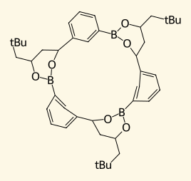 CC(C)(C)CC1CC2OB(O1)c1cccc(c1)C1CC(CC(C)(C)C)OB(O1)c1cccc(c1)C1CC(CC(C)(C)C)OB(O1)c1cccc2c1